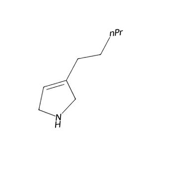 CCCCCC1=CCNC1